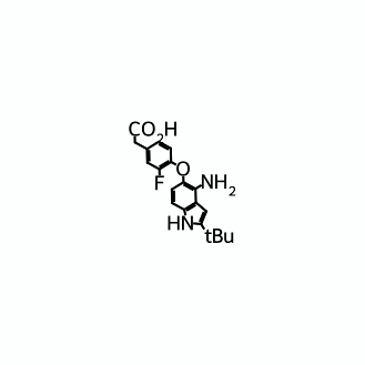 CC(C)(C)c1cc2c(N)c(Oc3ccc(CC(=O)O)cc3F)ccc2[nH]1